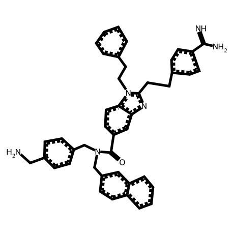 N=C(N)c1ccc(CCc2nc3cc(C(=O)N(Cc4ccc(CN)cc4)Cc4ccc5ccccc5c4)ccc3n2CCc2ccccc2)cc1